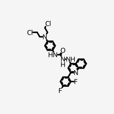 O=C(NNc1cc(-c2ccc(F)cc2F)nc2ccccc12)Nc1ccc(N(CCCl)CCCl)cc1